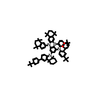 CC(C)(C)c1ccc(-c2ccc3c(c2)C2(C)CCCCC2(C)N3c2cc3c4c(c2)N(c2ccc(C(C)(C)C)cc2-c2ccccc2)c2cc(C(C)(C)C)ccc2B4c2cc4c(cc2N3c2ccc3c(c2)C(C)(C)CCC3(C)C)C(C)(C)CCC4(C)C)cc1